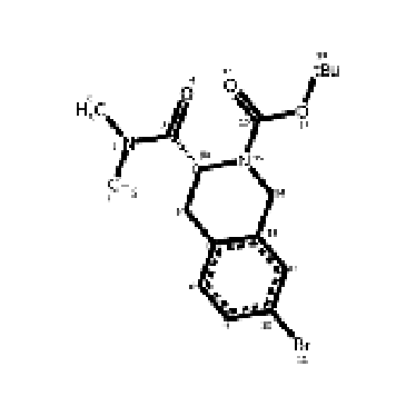 CN(C)C(=O)[C@H]1Cc2ccc(Br)cc2CN1C(=O)OC(C)(C)C